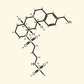 CC(C)Cc1ccc2c(c1)CCN1C[C@H]3CCCN(S(=O)(=O)CCCNS(C)(=O)=O)[C@H]3C[C@@H]21